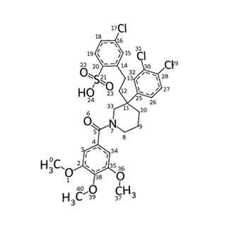 COc1cc(C(=O)N2CCCC(CCc3cc(Cl)ccc3S(=O)(=O)O)(c3ccc(Cl)c(Cl)c3)C2)cc(OC)c1OC